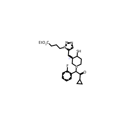 CCOC(=O)CCCn1nncc1/C=C1/CN(C(C(=O)C2CC2)c2ccccc2F)CCC1S